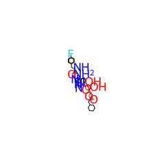 N#C[C@@]1(c2ccc3c(NC(=O)[C@@H](N)Cc4ccc(F)cc4)ncnn23)O[C@H](COC(=O)CC2CCCCC2)[C@@H](O)[C@H]1O